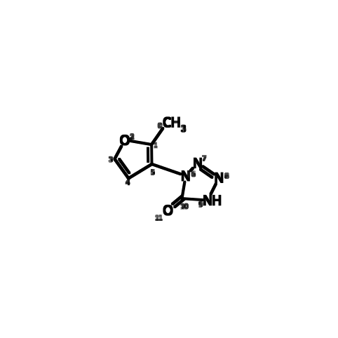 Cc1occc1-n1nn[nH]c1=O